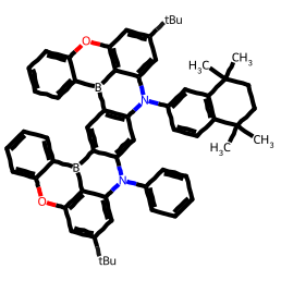 CC(C)(C)c1cc2c3c(c1)N(c1ccccc1)c1cc4c(cc1B3c1ccccc1O2)B1c2ccccc2Oc2cc(C(C)(C)C)cc(c21)N4c1ccc2c(c1)C(C)(C)CCC2(C)C